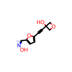 O/N=C\c1ccc(C#CC2(O)COC2)o1